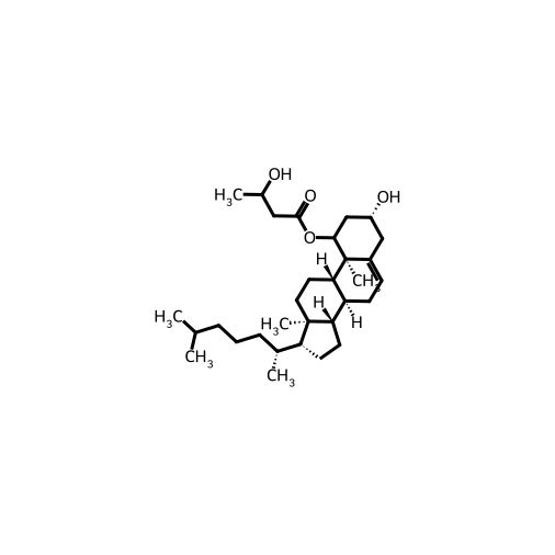 CC(C)CCC[C@@H](C)[C@H]1CC[C@H]2[C@@H]3CC=C4C[C@@H](O)CC(OC(=O)CC(C)O)[C@]4(C)[C@H]3CC[C@]12C